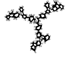 CC1(C)c2ccccc2-c2ccc(-n3c4ccccc4c4cc(-c5ccc(-c6cc(-c7ccc(-c8ccc9c(c8)c8ccccc8n9-c8ccc9c(c8)C(C)(C)c8ccccc8-9)cc7)nc(-c7ccc(-c8ccc9c(c8)c8ccccc8n9-c8ccc9c(c8)C(C)(C)c8ccccc8-9)cc7)n6)cc5)ccc43)cc21